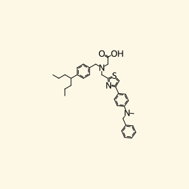 CCCC(CCC)c1ccc(CN(CC(=O)O)Cc2nc(-c3ccc(N(C)Cc4ccccc4)cc3)cs2)cc1